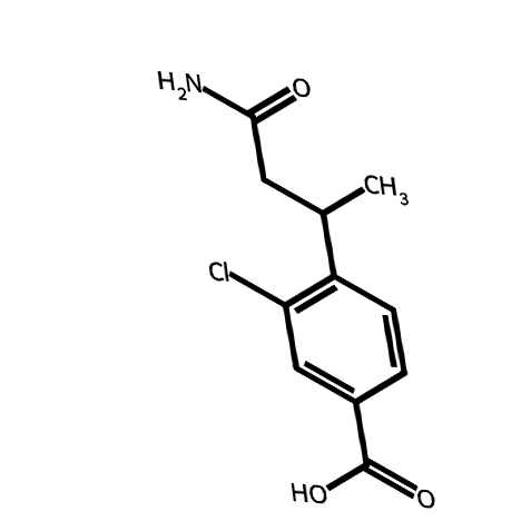 CC(CC(N)=O)c1ccc(C(=O)O)cc1Cl